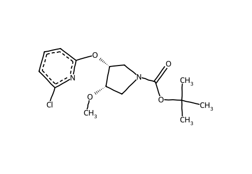 CO[C@H]1CN(C(=O)OC(C)(C)C)C[C@H]1Oc1cccc(Cl)n1